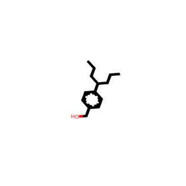 CCCC(CCC)c1ccc(CO)cc1